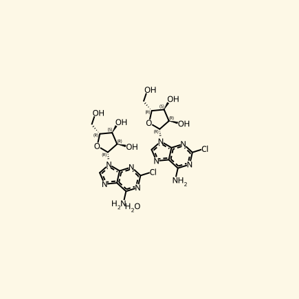 Nc1nc(Cl)nc2c1ncn2[C@@H]1O[C@H](CO)[C@@H](O)[C@H]1O.Nc1nc(Cl)nc2c1ncn2[C@@H]1O[C@H](CO)[C@@H](O)[C@H]1O.O